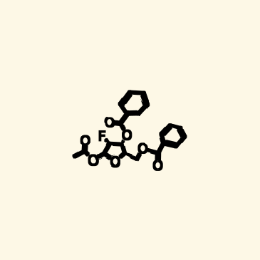 CC(=O)OC1O[C@H](COC(=O)c2ccccc2)[C@@H](OC(=O)c2ccccc2)[C@@H]1F